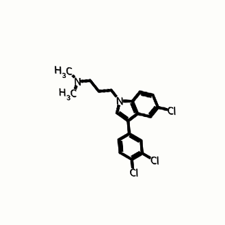 CN(C)CCCn1cc(-c2ccc(Cl)c(Cl)c2)c2cc(Cl)ccc21